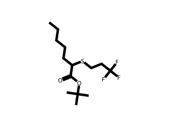 CCCCCC(SCCC(F)(F)F)C(=O)OC(C)(C)C